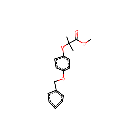 COC(=O)C(C)(C)Oc1ccc(OCc2ccccc2)cc1